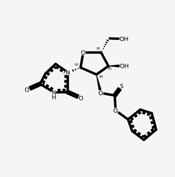 O=c1ccn([C@@H]2O[C@H](CO)[C@@H](O)[C@H]2OC(=S)Oc2ccccc2)c(=O)[nH]1